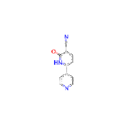 N#Cc1ccc(-c2ccncc2)[nH]c1=O